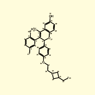 CC1=C(c2cc(F)ccc2F)[C@H](c2ccc(OCCN3CC(CF)C3)cc2)Oc2ccc(O)cc21